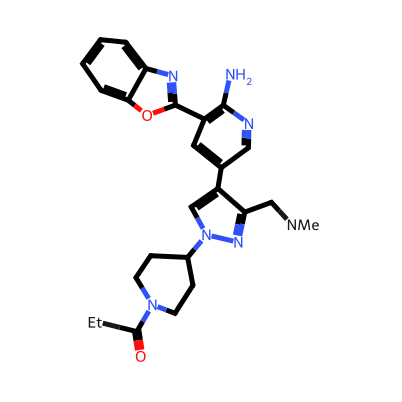 CCC(=O)N1CCC(n2cc(-c3cnc(N)c(-c4nc5ccccc5o4)c3)c(CNC)n2)CC1